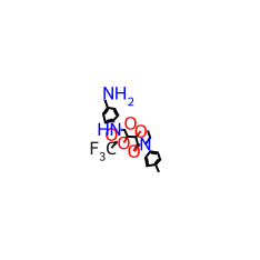 Cc1ccc(N2CCOC(C(OC(=O)C(F)(F)F)C(=O)Nc3ccc(CN)cc3)C2=O)cc1